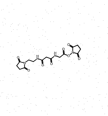 O=C(CC(=O)NCC(=O)ON1C(=O)CCC1=O)NCCN1C(=O)CCC1=O